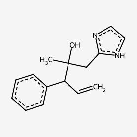 C=CC(c1ccccc1)C(C)(O)Cc1ncc[nH]1